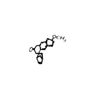 COc1ccc2cc3c(cc2c1)CC(=O)CC31CC2C=CC1C2